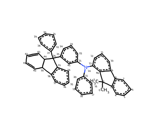 CC1(C)c2ccccc2-c2cccc(N(c3ccccc3)c3cccc(C4(c5ccccc5)c5ccccc5C5C=CC=CC54)c3)c21